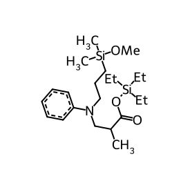 CC[Si](CC)(CC)OC(=O)C(C)CN(CCC[Si](C)(C)OC)c1ccccc1